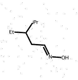 CCC(C/C=N/O)C(C)C